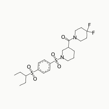 CCC(CC)S(=O)(=O)c1ccc(S(=O)(=O)N2CCCC(C(=O)N3CCC(F)(F)CC3)C2)cc1